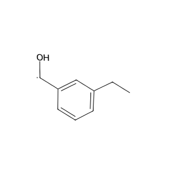 CCc1cccc([CH]O)c1